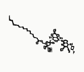 CCCCCCCCCCCCCCCC(=O)OCOP(=O)(O)CS(=O)(=O)C[C@H]1O[C@@H](n2ccc3c(N[C@H]4C[C@@H](F)C4)c(C#N)c(Cl)nc32)[C@@H]2OC(=O)O[C@@H]21